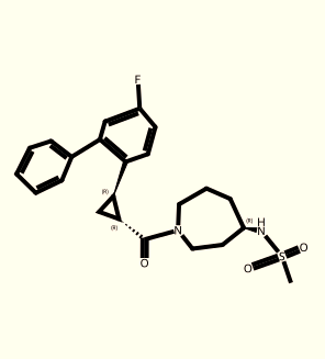 CS(=O)(=O)N[C@@H]1CCCN(C(=O)[C@@H]2C[C@H]2c2ccc(F)cc2-c2ccccc2)CC1